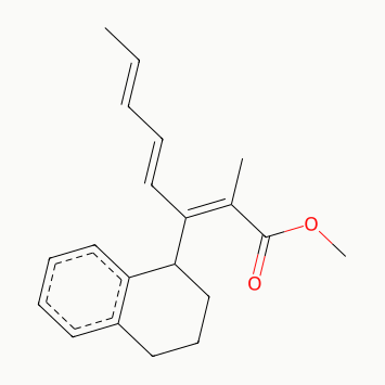 CC=CC=CC(=C(C)C(=O)OC)C1CCCc2ccccc21